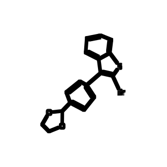 Brc1sc2ccccc2c1-c1ccc(C2OCCO2)cc1